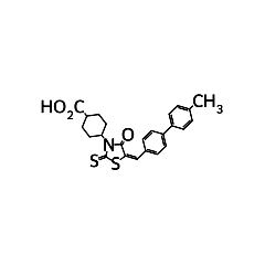 Cc1ccc(-c2ccc(/C=C3/SC(=S)N(C4CCC(C(=O)O)CC4)C3=O)cc2)cc1